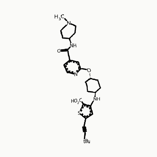 CN1CCC(NC(=O)c2ccnc(O[C@H]3CC[C@H](Nc4cc(C#CC(C)(C)C)sc4C(=O)O)CC3)c2)CC1